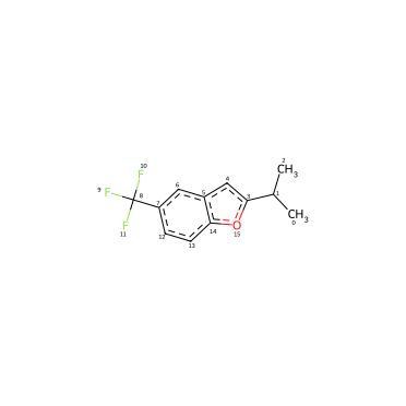 CC(C)c1cc2cc(C(F)(F)F)ccc2o1